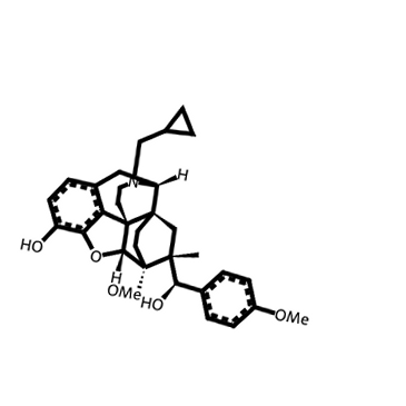 COc1ccc([C@@H](O)[C@@]2(C)C[C@@]34CC[C@]2(OC)[C@@H]2Oc5c(O)ccc6c5[C@@]23CCN(CC2CC2)[C@@H]4C6)cc1